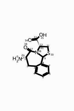 N[C@H]1Cc2ccccc2C2SC[C@@H](C(=O)O)N2C1=O